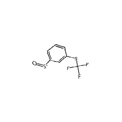 O=[S+]c1cccc(SC(F)(F)F)c1